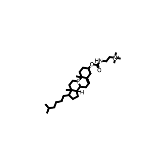 CC(C)CCCCC1CC[C@H]2C3CC=C4CC(OC(=O)NCC[N+](C)(C)C)CCC4(C)P3CCC12C